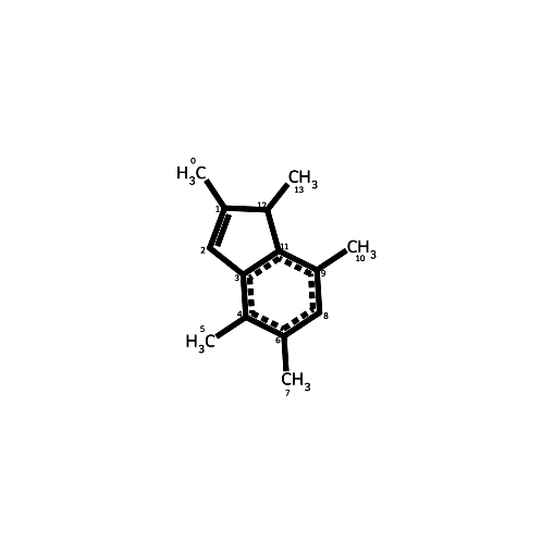 CC1=Cc2c(C)c(C)cc(C)c2C1C